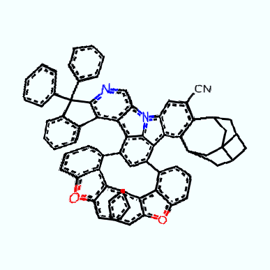 N#Cc1cc2c(c3c1C1CC4CC5CC3CC45C1)c1c(-c3cccc4oc5ccccc5c34)cc(-c3cccc4oc5ccccc5c34)c3c4c5c(ncc4n2c31)C(c1ccccc1)(c1ccccc1)c1ccccc1-5